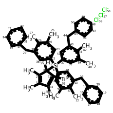 CC1=C(C)C(C)([Si](c2cc(C)c(C)c(Cc3ccccc3)c2)(c2cc(C)c(C)c(Cc3ccccc3)c2)c2cc(C)c(C)c(Cc3ccccc3)c2)[C]([Ti+3])=C1C.[Cl-].[Cl-].[Cl-]